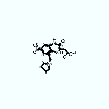 O=C(O)CC1Nc2c(CN3CCCC3)cc([N+](=O)[O-])cc2NC1=O